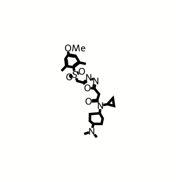 COc1cc(C)c(S(=O)(=O)Cc2nnc(CC(=O)N(C3CCC(N(C)C)CC3)C3CC3)o2)c(C)c1